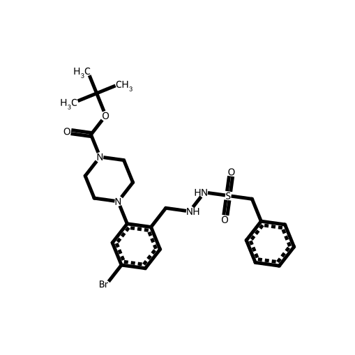 CC(C)(C)OC(=O)N1CCN(c2cc(Br)ccc2CNNS(=O)(=O)Cc2ccccc2)CC1